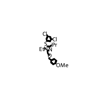 CCn1c(COCc2ccc(OC)cc2)nc(C(C)C)c1Sc1cc(Cl)cc(Cl)c1